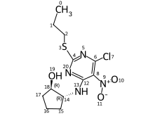 CCCSc1nc(Cl)c([N+](=O)[O-])c(N[C@@H]2CCC[C@H]2O)n1